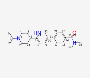 CC(C)N1CCC(C2=CC=C(c3ccc(C(=O)N(C)C)cc3)CN2)CC1